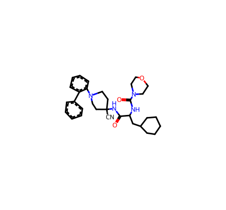 N#CC1(NC(=O)C(CC2CCCCC2)NC(=O)N2CCOCC2)CCN(c2ccccc2-c2ccccc2)CC1